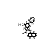 CCc1nc2c(O)cc(N3CCOCC3)cc2n1Cc1cccc2ccccc12